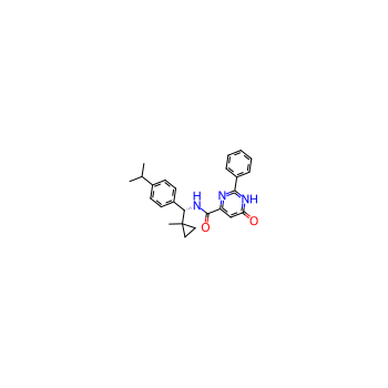 CC(C)c1ccc([C@H](NC(=O)c2cc(=O)[nH]c(-c3ccccc3)n2)C2(C)CC2)cc1